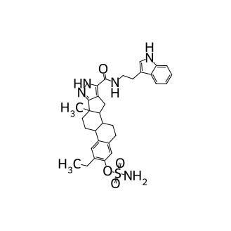 CCc1cc2c(cc1OS(N)(=O)=O)CCC1C2CCC2(C)c3n[nH]c(C(=O)NCCc4c[nH]c5ccccc45)c3CC12